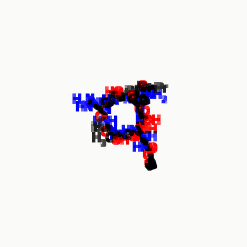 CC[C@H](C)[C@@H]1NC(=O)[C@@H](CCCNC(=N)N)NC(=O)[C@H](CC(C)C)NC(=O)[C@H]([C@H](O)C(C)C)NC(=O)[C@@H](NC(=O)[C@H](CC(C)C)NC(=O)[C@H](N)CC(C)C)[C@@H](c2ccccc2)OC(=O)[C@H](CO)NC(=O)[C@H]([C@H](O)C(=O)NCCNC(=O)OCc2ccccc2)NC(=O)CNC(=O)[C@H]([C@H](C)O)NC1=O